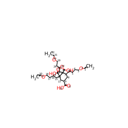 C=COCCCCC1CC(C(=O)O)CC(CCCCOC=C)(C(=O)O)C1(CCCCOC=C)C(=O)O